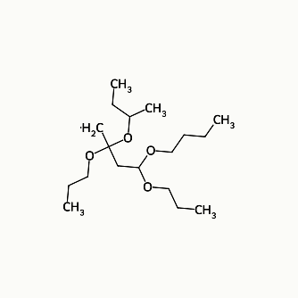 [CH2]C(CC(OCCC)OCCCC)(OCCC)OC(C)CC